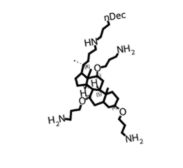 CCCCCCCCCCCCCNCCC[C@@H](C)C1CC[C@H]2C3[C@H](OCCCN)CC4C[C@H](OCCCN)CCC4(C)[C@H]3C[C@H](OCCCN)C12C